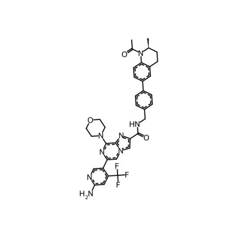 CC(=O)N1c2ccc(-c3ccc(CNC(=O)c4cn5cc(-c6cnc(N)cc6C(F)(F)F)nc(N6CCOCC6)c5n4)cc3)cc2CC[C@@H]1C